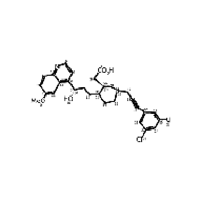 COc1ccc2nccc([C@@H](O)CC[C@@H]3CCN(CC#Cc4cc(Cl)cc(Cl)c4)C[C@@H]3CC(=O)O)c2c1